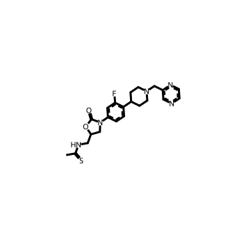 CC(=S)NCC1CN(c2ccc(C3CCN(Cc4cnccn4)CC3)c(F)c2)C(=O)O1